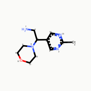 CCc1ncc(C(CN)N2CCOCC2)cn1